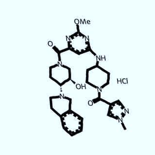 COc1nc(NC2CCN(C(=O)c3cnn(C)c3)CC2)cc(C(=O)N2CC[C@@H](N3CCc4ccccc4C3)[C@H](O)C2)n1.Cl